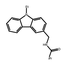 CCn1c2ccccc2c2cc(CNC(=O)C(C)C)ccc21